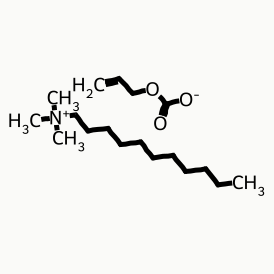 C=CCOC(=O)[O-].CCCCCCCCCCC[N+](C)(C)C